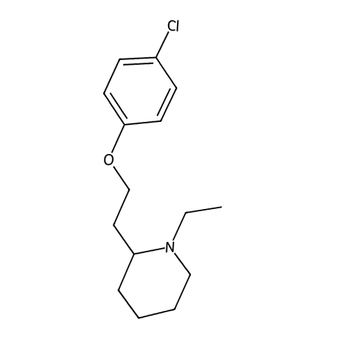 CCN1CCCCC1CCOc1ccc(Cl)cc1